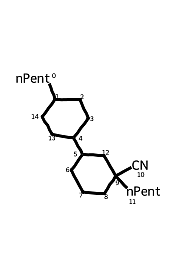 CCCCCC1CCC(C2CCCC(C#N)(CCCCC)C2)CC1